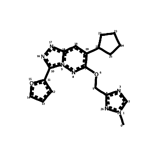 Cn1cnc(COc2nn3c(-c4ccco4)nnc3cc2C2CCCC2)n1